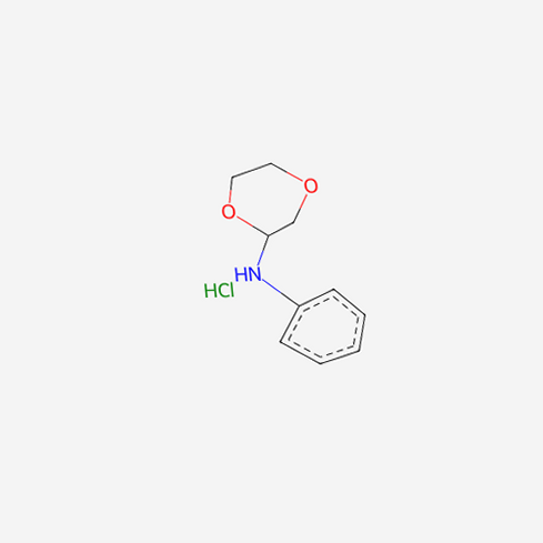 Cl.c1ccc(NC2COCCO2)cc1